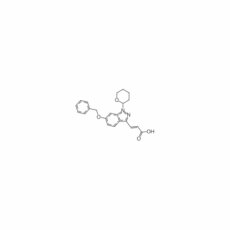 O=C(O)C=Cc1nn(C2CCCCO2)c2cc(OCc3ccccc3)ccc12